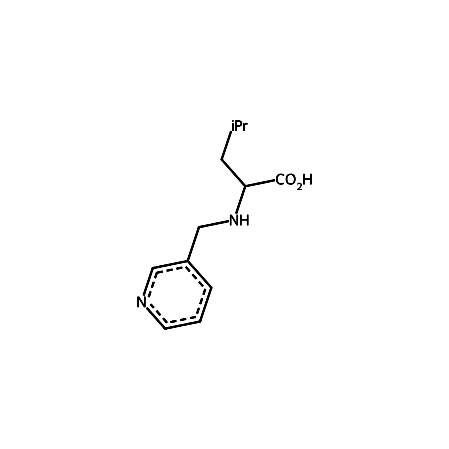 CC(C)CC(NCc1cccnc1)C(=O)O